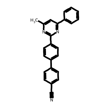 Cc1cc(-c2ccccc2)nc(-c2ccc(-c3ccc(C#N)cc3)cc2)n1